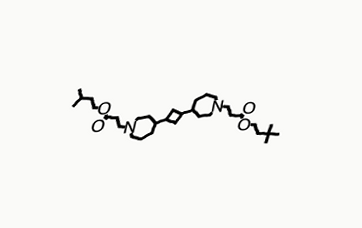 CC(C)CCOC(=O)CCN1CCCC(C2CC(C3CCCN(CCC(=O)OCCC(C)(C)C)CC3)C2)CC1